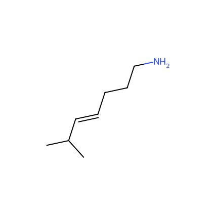 CC(C)C=CCCCN